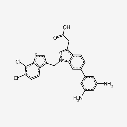 Nc1cc(N)cc(-c2ccc3c(CC(=O)O)cn(Cc4csc5c(Cl)c(Cl)ccc45)c3c2)c1